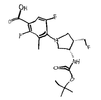 Cc1c(F)c(C(=O)O)cc(F)c1N1C[C@H](CF)[C@H](NC(=O)OC(C)(C)C)C1